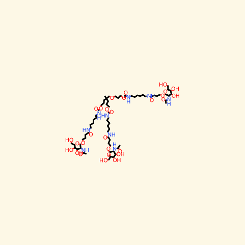 CC(=O)NC1C(OCCCC(=O)NCCCCCCNC(=O)OCCCOCC(C)(CCCOC(=O)NCCCCCCNC(=O)CCCOC2OC(CO)C(O)C(O)C2NC(C)=O)CCCOC(=O)NCCCCCCNC(=O)CCCOC2OC(CO)C(O)C(O)C2NC(C)=O)OC(CO)C(O)C1O